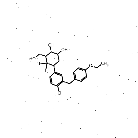 CCOc1ccc(Cc2cc(C3CC(O)[C@H](O)C(CO)C3(F)F)ccc2Cl)cc1